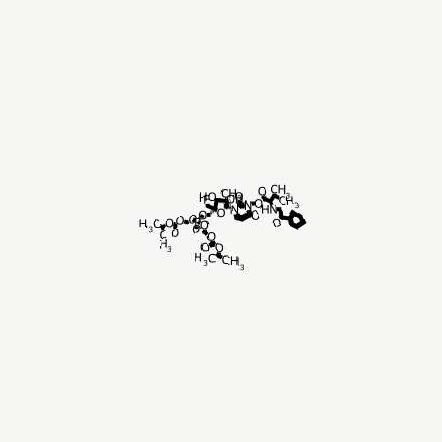 CC(C)OC(=O)OCOP(=O)(OCOC(=O)OC(C)C)OC[C@@]1(CF)O[C@@H](n2ccc(=O)n(COC(=O)C(NCC(=O)c3ccccc3)C(C)C)c2=O)[C@](C)(O)[C@@H]1O